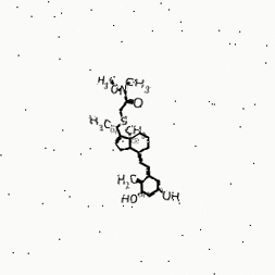 C=C1C(=CC=C2CCC[C@]3(C)C([C@H](C)SCC(=O)N(C)OC)=CCC23)C[C@@H](O)C[C@@H]1O